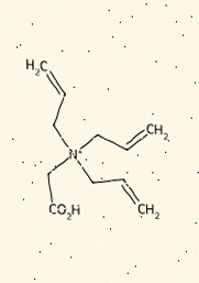 C=CC[N+](CC=C)(CC=C)CC(=O)O